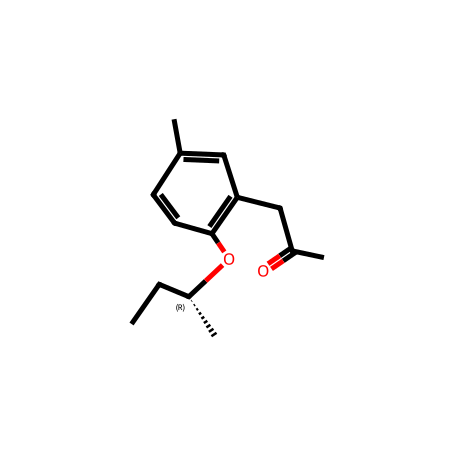 CC[C@@H](C)Oc1ccc(C)cc1CC(C)=O